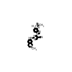 CN1CCc2ccc(Nc3ncc(C#N)c(-n4cnc5c(N=S(C)(C)=O)cccc54)n3)cc2C1